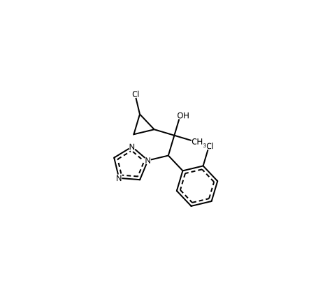 CC(O)(C1CC1Cl)C(c1ccccc1Cl)n1cncn1